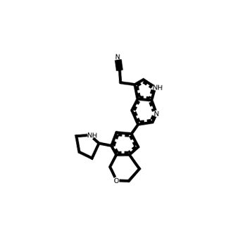 N#CCc1c[nH]c2ncc(-c3cc4c(c(C5CCCN5)c3)COCC4)cc12